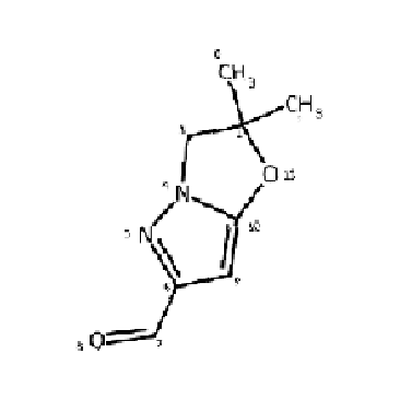 CC1(C)Cn2nc(C=O)cc2O1